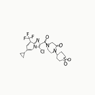 O=C(c1nc2c(C(F)(F)F)cc(C3CC3)cn2c1Cl)N1CCN(C2CCS(=O)(=O)CC2)C(=O)C1